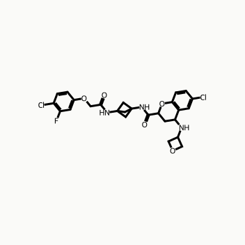 O=C(COc1ccc(Cl)c(F)c1)NC12CC(NC(=O)C3CC(NC4COC4)c4cc(Cl)ccc4O3)(C1)C2